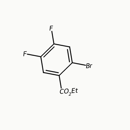 CCOC(=O)c1cc(F)c(F)cc1Br